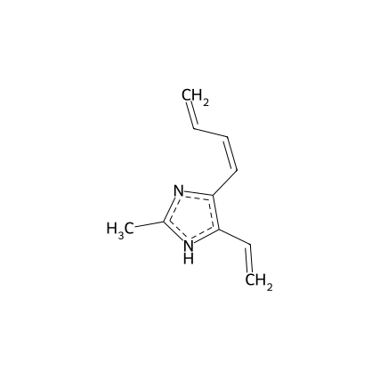 C=C/C=C\c1nc(C)[nH]c1C=C